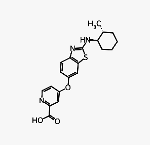 C[C@@H]1CCCC[C@H]1Nc1nc2ccc(Oc3ccnc(C(=O)O)c3)cc2s1